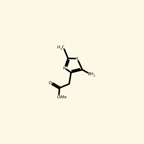 Bc1sc(C)nc1CC(=O)OC